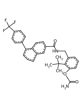 CC(C)(C)c1c(CNC(=O)c2ccc3c(-c4ccc(C(F)(F)F)cc4)cccc3c2)cccc1OC(N)=O